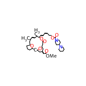 COC(=O)/C=C1\CC2CC(=O)OC(/C=C/C=C\CCOC(=O)N3CCC(N4CCCCC4)CC3)C(C)/C=C/C(C)CC3CCCC(CC(C1)O2)O3